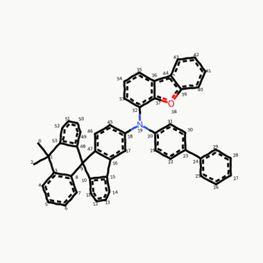 CC1(C)c2ccccc2C2(c3ccccc3-c3cc(N(c4ccc(-c5ccccc5)cc4)c4cccc5c4oc4ccccc45)ccc32)c2ccccc21